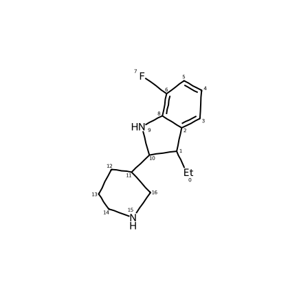 CCC1c2cccc(F)c2NC1C1CCCNC1